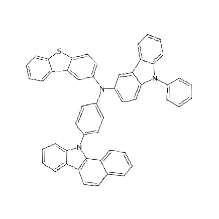 c1ccc(-n2c3ccccc3c3cc(N(c4ccc(-n5c6ccccc6c6ccc7ccccc7c65)cc4)c4ccc5sc6ccccc6c5c4)ccc32)cc1